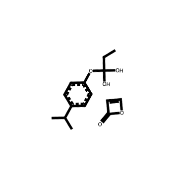 CCC(O)(O)Oc1ccc(C(C)C)cc1.O=C1C=CO1